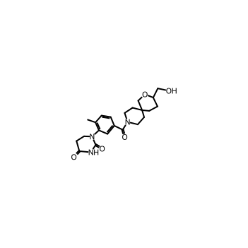 Cc1ccc(C(=O)N2CCC3(CCC(CO)OC3)CC2)cc1N1CCC(=O)NC1=O